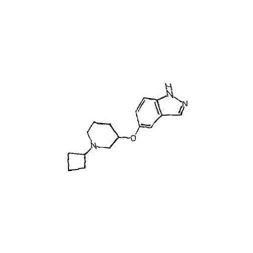 c1cc2[nH]ncc2cc1OC1CCCN(C2CCC2)C1